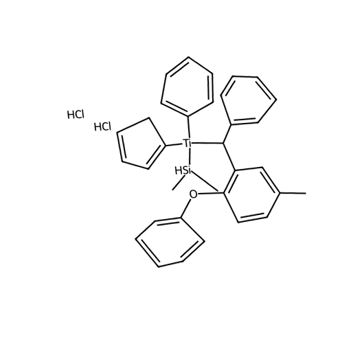 Cc1ccc(Oc2ccccc2)c([CH](c2ccccc2)[Ti]([C]2=CC=CC2)([c]2ccccc2)[SiH](C)C)c1.Cl.Cl